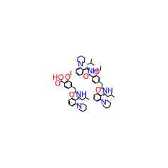 CCOc1cc(CC(=O)N[C@@H](CC(C)C)c2ccccc2N2CCCCC2)ccc1C(=O)N[C@@H](CC(C)C)c1ccccc1N1CCCCC1.CCOc1cc(CC(=O)N[C@@H](CC(C)C)c2ccccc2N2CCCCC2)ccc1C(=O)O